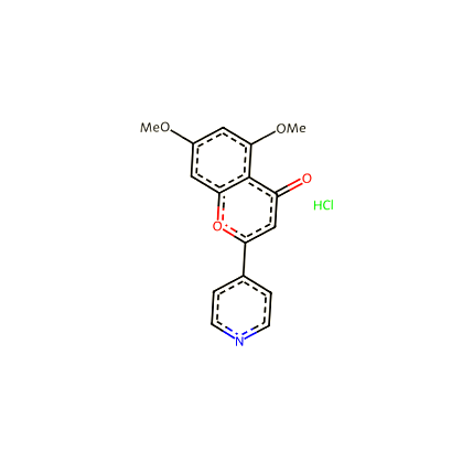 COc1cc(OC)c2c(=O)cc(-c3ccncc3)oc2c1.Cl